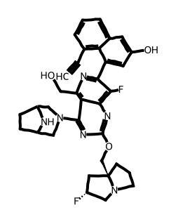 C#Cc1cccc2cc(O)cc(-c3nc(CO)c4c(N5CC6CCC(C5)N6)nc(OC[C@@]56CCCN5C[C@H](F)C6)nc4c3F)c12